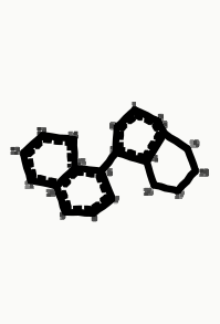 [c]1ccc2c(c1-c1cccc3ccccc13)CCCC2